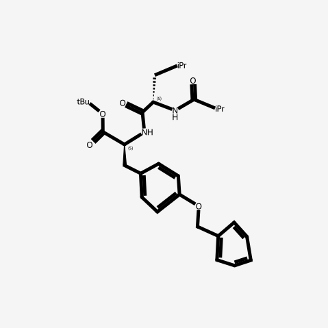 CC(C)C[C@H](NC(=O)C(C)C)C(=O)N[C@@H](Cc1ccc(OCc2ccccc2)cc1)C(=O)OC(C)(C)C